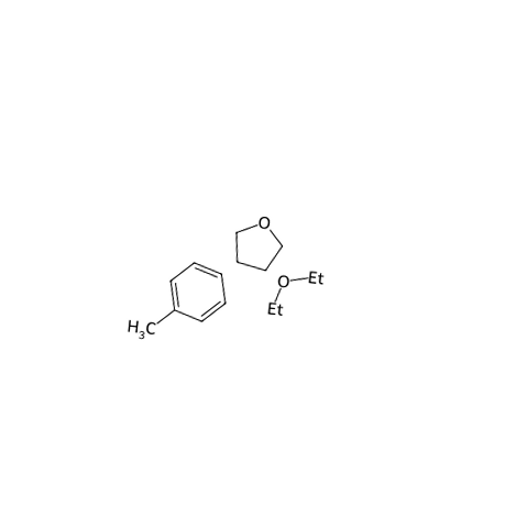 C1CCOC1.CCOCC.Cc1ccccc1